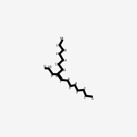 CCCCCCCC=C(CCC)CCCCCCC